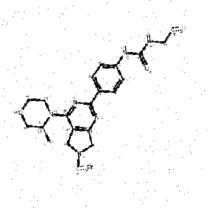 CCOC(=O)N1Cc2nc(-c3ccc(NC(=O)NCC(=O)O)cc3)nc(N3CCOC[C@@H]3C)c2C1